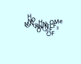 COC(c1cnc2n1C[C@H](c1cccc(F)c1F)CC[C@H]2NC(=O)N1CCC(n2c(=O)[nH]c3ncccc32)CC1)C(F)(F)F